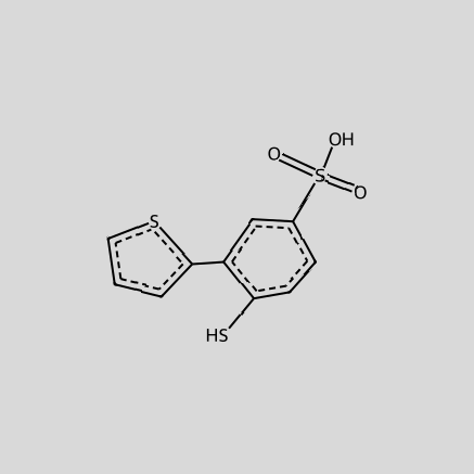 O=S(=O)(O)c1ccc(S)c(-c2cccs2)c1